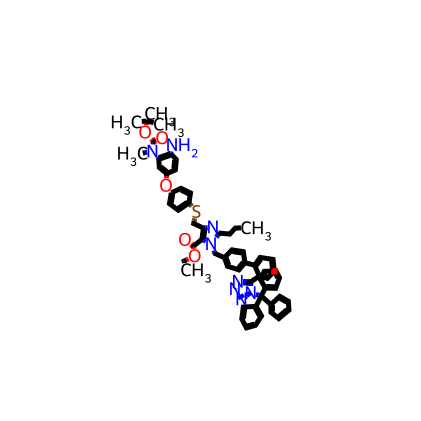 CCCc1nc(CSc2ccc(Oc3ccc(N)c(N(C)C(=O)OC(C)(C)C)c3)cc2)c(C(=O)OCC)n1Cc1ccc(-c2ccccc2-c2nnnn2C(c2ccccc2)(c2ccccc2)c2ccccc2)cc1